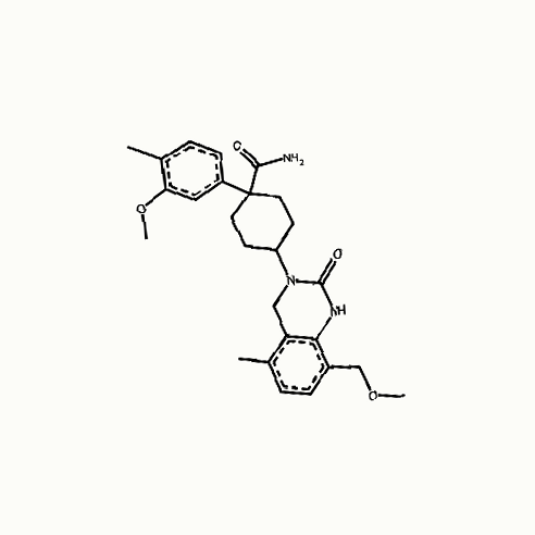 COCc1ccc(C)c2c1NC(=O)N(C1CCC(C(N)=O)(c3ccc(C)c(OC)c3)CC1)C2